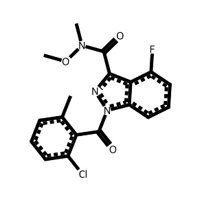 CON(C)C(=O)c1nn(C(=O)c2c(C)cccc2Cl)c2cccc(F)c12